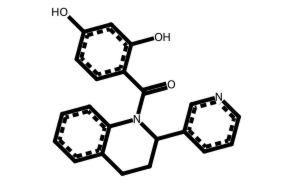 O=C(c1ccc(O)cc1O)N1c2ccccc2CCC1c1cccnc1